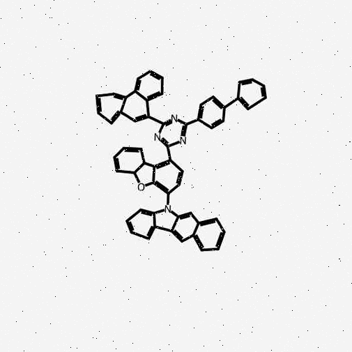 C1=CC2Oc3c(-n4c5ccccc5c5cc6ccccc6cc54)ccc(-c4nc(-c5ccc(-c6ccccc6)cc5)nc(-c5cc6ccccc6c6ccccc56)n4)c3C2C=C1